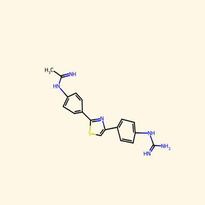 CC(=N)Nc1ccc(-c2nc(-c3ccc(NC(=N)N)cc3)cs2)cc1